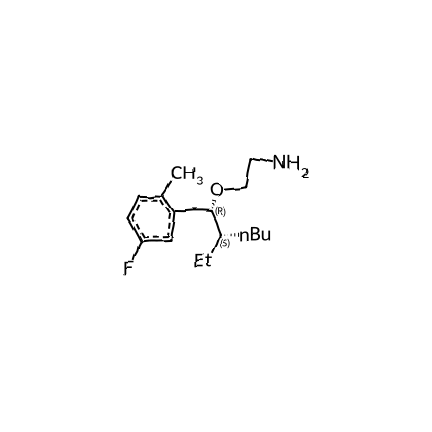 CCCC[C@H](CC)[C@@H](OCCN)c1cc(F)ccc1C